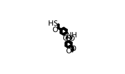 O=C(CS)c1ccc(NS(=O)(=O)c2ccc3c(c2)OCO3)cc1